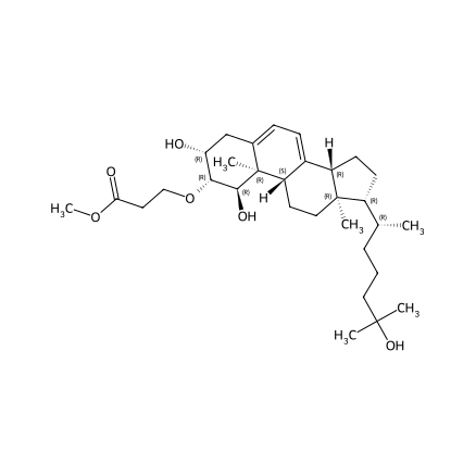 COC(=O)CCO[C@@H]1[C@H](O)CC2=CC=C3[C@@H]4CC[C@H]([C@H](C)CCCC(C)(C)O)[C@@]4(C)CC[C@@H]3[C@@]2(C)[C@H]1O